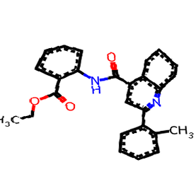 CCOC(=O)c1ccccc1NC(=O)c1cc(-c2ccccc2C)nc2ccccc12